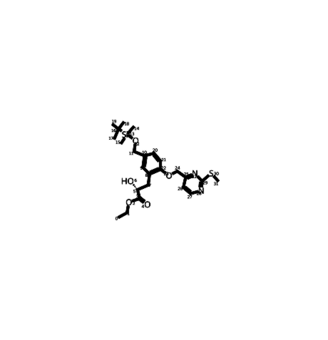 CCOC(=O)[C@H](O)Cc1cc(CO[Si](C)(C)C(C)(C)C)ccc1OCc1ccnc(SC)n1